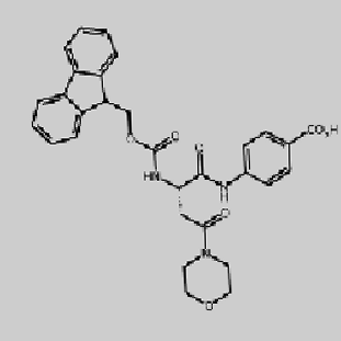 O=C(N[C@@H](CC(=O)N1CCOCC1)C(=O)Nc1ccc(C(=O)O)cc1)OCC1c2ccccc2-c2ccccc21